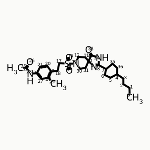 CCCCC1CCC(C2=NC3(CCN(S(=O)(=O)CCc4ccc(NC(C)=O)cc4C)CC3)C(=O)N2)CC1